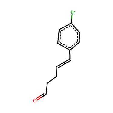 O=CCCC=Cc1ccc(Br)cc1